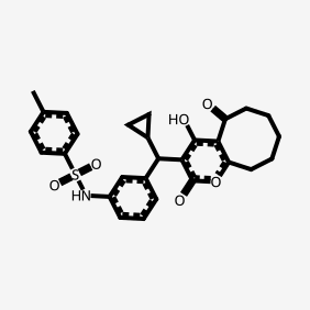 Cc1ccc(S(=O)(=O)Nc2cccc(C(c3c(O)c4c(oc3=O)CCCCCC4=O)C3CC3)c2)cc1